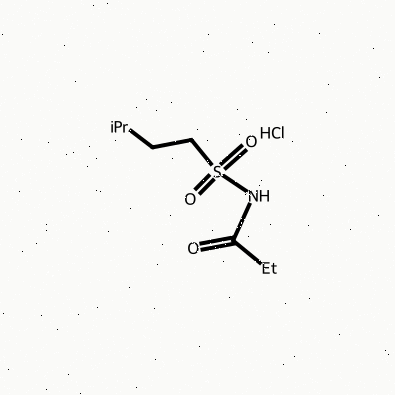 CCC(=O)NS(=O)(=O)CCC(C)C.Cl